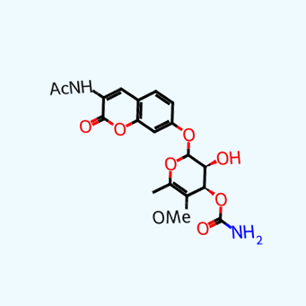 COC1=C(C)OC(Oc2ccc3cc(NC(C)=O)c(=O)oc3c2)[C@@H](O)[C@H]1OC(N)=O